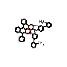 Cc1ccccc1-c1ccc2c(c1)Oc1cc(-c3ccccc3-c3c4ccccc4c(-c4ccccc4)c4ccccc34)cc3c1B2c1ccc(-c2ccccc2C)cc1O3